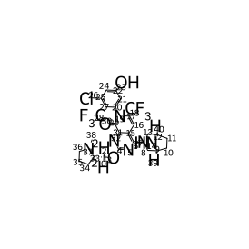 [2H]C([2H])(Oc1nc(N2C[C@H]3CC[C@@H](C2)N3)c2cc(C(F)(F)F)n(-c3cc(O)cc(Cl)c3C(F)(F)F)c(=O)c2n1)[C@@H]1CCCN1C